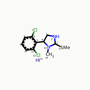 CSC1NCC(c2c(Cl)cccc2Cl)N1C.I